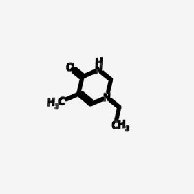 CCN1C=C(C)C(=O)NC1